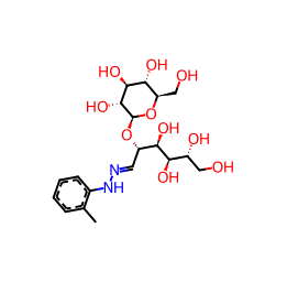 Cc1ccccc1N/N=C/[C@H](O[C@@H]1O[C@H](CO)[C@@H](O)[C@H](O)[C@H]1O)[C@@H](O)[C@H](O)[C@H](O)CO